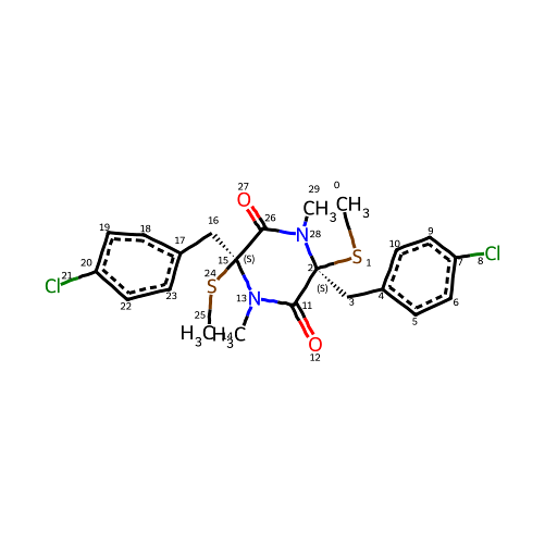 CS[C@@]1(Cc2ccc(Cl)cc2)C(=O)N(C)[C@@](Cc2ccc(Cl)cc2)(SC)C(=O)N1C